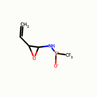 C=CC1OC1N[S+]([O-])C(F)(F)F